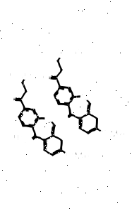 COC1=CC=C2C(=O)c3ccc(C(=O)CCC(=O)[O-])cc3SC=C2C1.COC1=CC=C2C(=O)c3ccc(C(=O)CCC(=O)[O-])cc3SC=C2C1.[Cu+2]